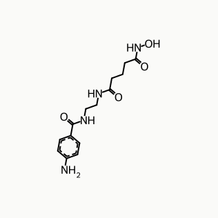 Nc1ccc(C(=O)NCCNC(=O)CCCC(=O)NO)cc1